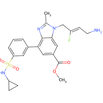 COC(=O)c1cc(-c2cccc(S(=O)(=O)NC3CC3)c2)c2nc(C)n(CC(F)=CCN)c2c1